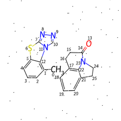 Cc1cccc2sc3nncn3c12.O=C1CCc2cccc3c2N1CC3